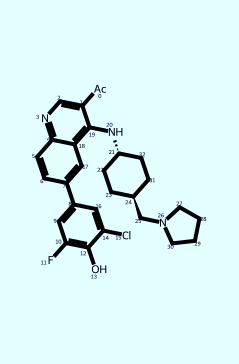 CC(=O)c1cnc2ccc(-c3cc(F)c(O)c(Cl)c3)cc2c1N[C@H]1CC[C@H](CN2CCCC2)CC1